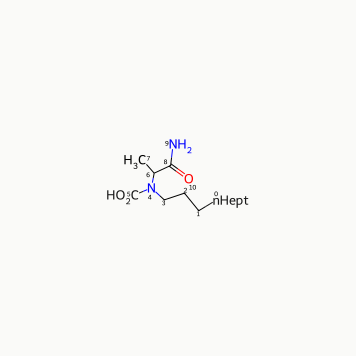 CCCCCCCCCCN(C(=O)O)C(C)C(N)=O